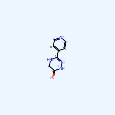 O=C1CNC(c2ccncc2)=NN1